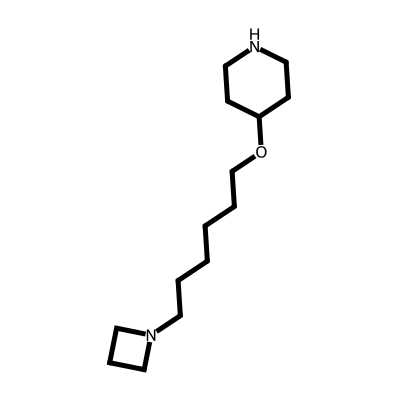 C(CCCN1CCC1)CCOC1CCNCC1